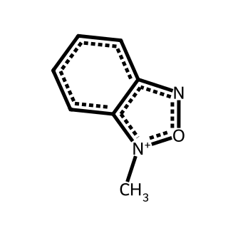 C[n+]1onc2ccccc21